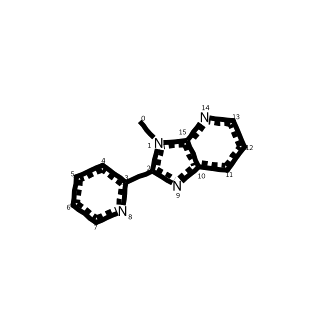 Cn1c(-c2ccccn2)nc2cccnc21